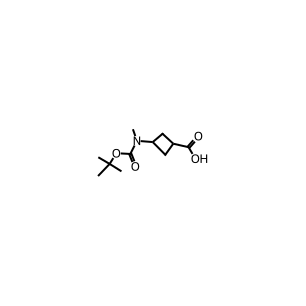 CN(C(=O)OC(C)(C)C)C1CC(C(=O)O)C1